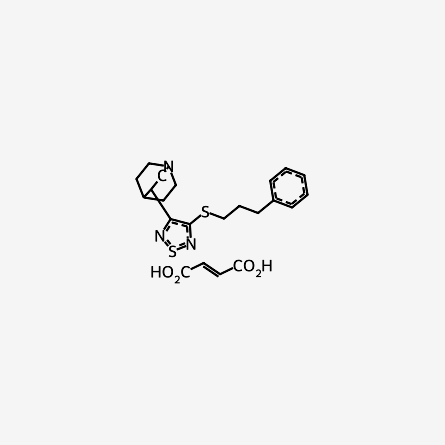 O=C(O)C=CC(=O)O.c1ccc(CCCSc2nsnc2C2CN3CCC2CC3)cc1